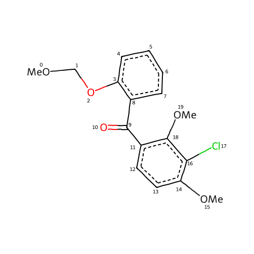 COCOc1ccccc1C(=O)c1ccc(OC)c(Cl)c1OC